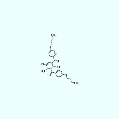 CCCCOc1ccc(C(=O)c2cc(O)c(C)c(C(=O)c3ccc(OCCCC)cc3)c2O)cc1